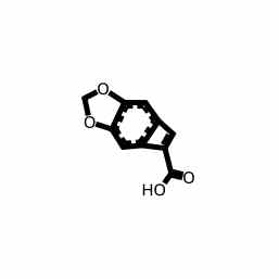 O=C(O)C1=Cc2cc3c(cc21)OCO3